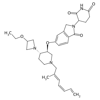 C=C/C=C\C=C(/C)CN1CC[C@H](N2CC(OCC)C2)[C@@H](Oc2ccc3c(c2)CN(C2CCC(=O)NC2=O)C3=O)C1